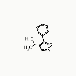 CC(C)c1cnsc1-c1ccccc1